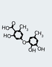 Cc1cc(O)c(O)c(Oc2cc(C)c(C(=O)O)c(O)c2)c1